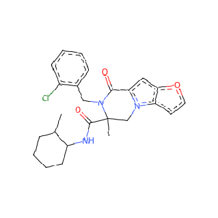 CC1CCCCC1NC(=O)C1(C)Cn2c(cc3occc32)C(=O)N1Cc1ccccc1Cl